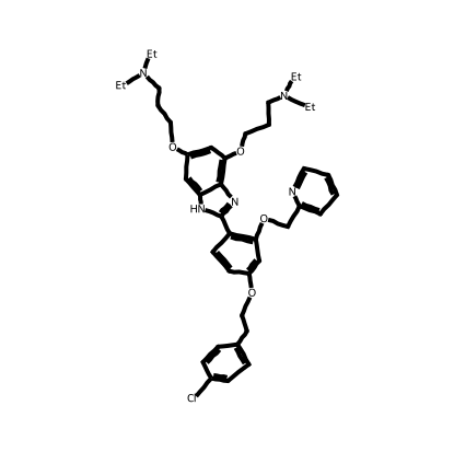 CCN(CC)CCCOc1cc(OCCCN(CC)CC)c2nc(-c3ccc(OCCc4ccc(Cl)cc4)cc3OCc3ccccn3)[nH]c2c1